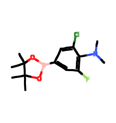 CN(C)c1c(F)cc(B2OC(C)(C)C(C)(C)O2)cc1Cl